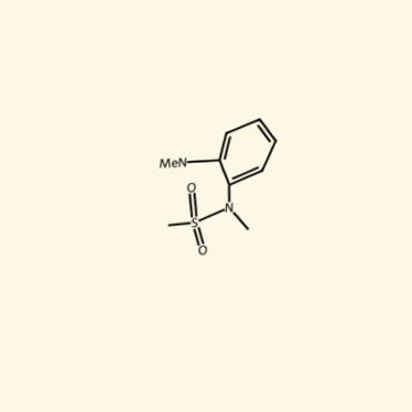 CNc1ccccc1N(C)S(C)(=O)=O